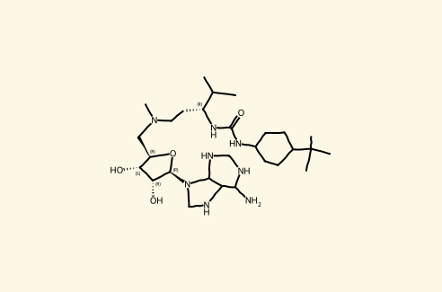 CC(C)[C@@H](CCN(C)C[C@H]1O[C@@H](N2CNC3C(N)NCNC32)[C@H](O)[C@@H]1O)NC(=O)NC1CCC(C(C)(C)C)CC1